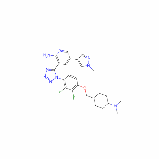 CN(C)C1CCC(COc2ccc(-n3nnnc3-c3cc(-c4cnn(C)c4)cnc3N)c(F)c2F)CC1